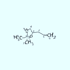 C=C[CH]C1COC(C)(C)O1